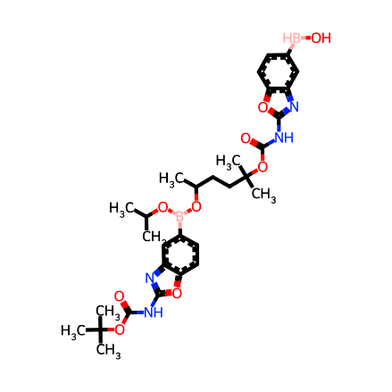 CC(C)OB(OC(C)CCC(C)(C)OC(=O)Nc1nc2cc(BO)ccc2o1)c1ccc2oc(NC(=O)OC(C)(C)C)nc2c1